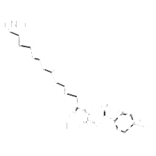 CCCCCCCCCC=CC=CC=CC=CC=CC=CC(=O)NC(C)OC(=O)c1ccc(I)cc1